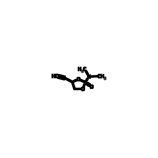 C#CC1COP(=O)(N(C)C)O1